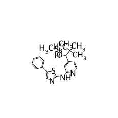 C[SiH](C)OC(c1ccnc(Nc2ncc(-c3ccccc3)s2)c1)C(C)(C)C